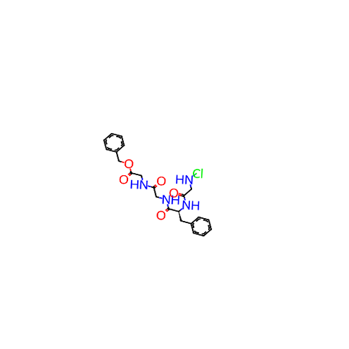 O=C(CNC(=O)[C@H](Cc1ccccc1)NC(=O)CNCl)NCC(=O)OCc1ccccc1